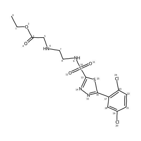 CCOC(=O)CNCCNS(=O)(=O)c1nnc(-c2cc(Cl)ccc2Cl)s1